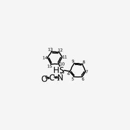 O=C=N[SH](c1ccccc1)c1ccccc1